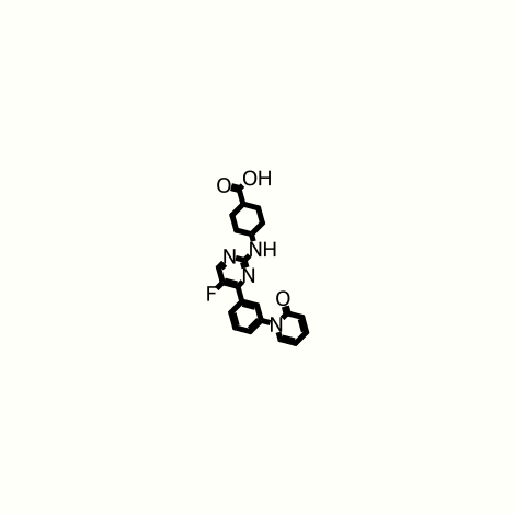 O=C(O)C1CCC(Nc2ncc(F)c(-c3cccc(-n4ccccc4=O)c3)n2)CC1